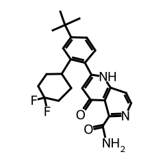 CC(C)(C)c1ccc(-c2cc(=O)c3c(C(N)=O)nccc3[nH]2)c(C2CCC(F)(F)CC2)c1